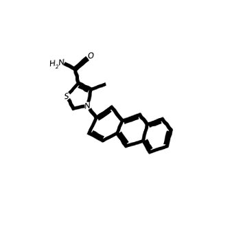 CC1=C(C(N)=O)SCN1c1ccc2cc3ccccc3cc2c1